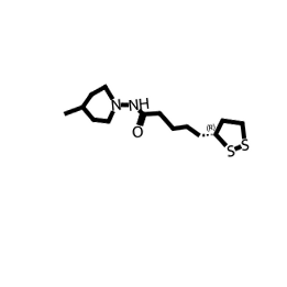 CC1CCN(NC(=O)CCCC[C@@H]2CCSS2)CC1